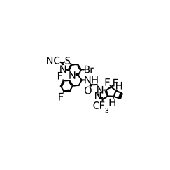 N#Cc1nc2nc(C(Cc3cc(F)cc(F)c3)NC(=O)Cn3nc(C(F)(F)F)c4c3C(F)(F)[C@@H]3C#C[C@H]43)c(Br)cc2s1